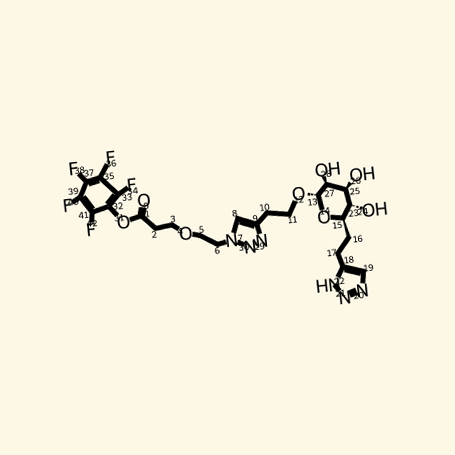 O=C(CCOCCn1cc(CCO[C@H]2O[C@H](CCc3cnn[nH]3)[C@@H](O)[C@H](O)[C@@H]2O)nn1)Oc1c(F)c(F)c(F)c(F)c1F